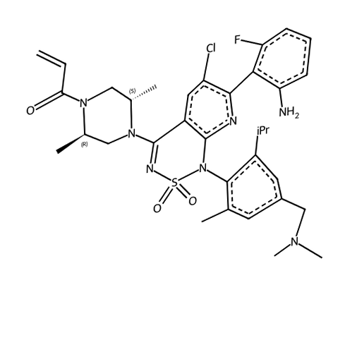 C=CC(=O)N1C[C@H](C)N(C2=NS(=O)(=O)N(c3c(C)cc(CN(C)C)cc3C(C)C)c3nc(-c4c(N)cccc4F)c(Cl)cc32)C[C@H]1C